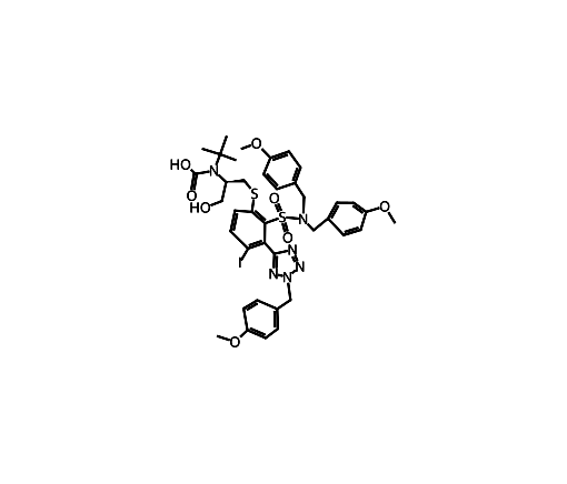 COc1ccc(CN(Cc2ccc(OC)cc2)S(=O)(=O)c2c(SC[C@@H](CO)N(C(=O)O)C(C)(C)C)ccc(I)c2-c2nnn(Cc3ccc(OC)cc3)n2)cc1